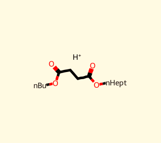 CCCCCCCOC(=O)CCC(=O)OCCCC.[H+]